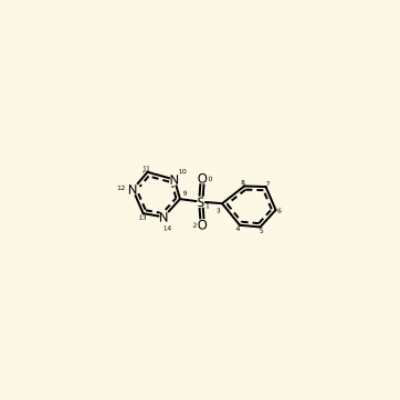 O=S(=O)(c1ccccc1)c1n[c]ncn1